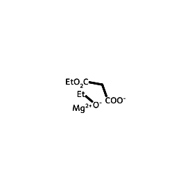 CCOC(=O)CC(=O)[O-].CC[O-].[Mg+2]